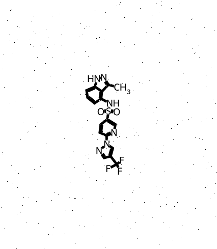 Cc1n[nH]c2cccc(NS(=O)(=O)c3ccc(-n4cc(C(F)(F)F)cn4)nc3)c12